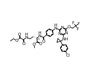 CCOC(=O)C(=O)NCC[C@H](NC(=O)c1ccc(Nc2nc(NC3(c4ccc(Cl)cc4)CC3)nc(OCC(F)(F)F)n2)cc1)C(=O)OC